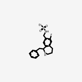 CCS(=O)(=O)NCc1cc2c(cc1F)CCCNC2Cc1ccccc1